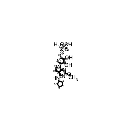 COc1nc(NC2CCCC2)c2ccn([C@@H]3O[C@H](COOP(C)(=O)O)[C@@H](O)[C@H]3O)c2n1